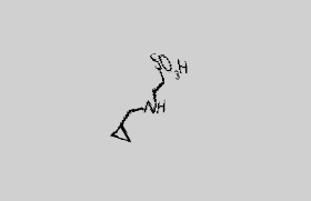 O=S(=O)(O)CCNCC1CC1